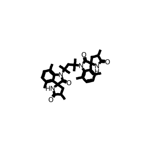 Cc1ccc(C)c2c1N(C(C)(C)CC(C)(C)N1C(=O)C3(CC(C)C(=O)N3)c3c(C)ccc(C)c31)C(=O)C21CC(C)C(=O)N1